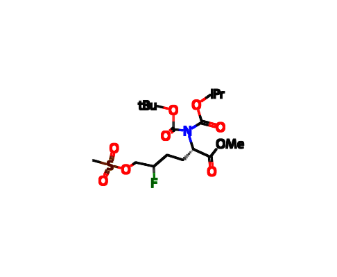 COC(=O)[C@H](CCC(F)COS(C)(=O)=O)N(C(=O)OC(C)C)C(=O)OC(C)(C)C